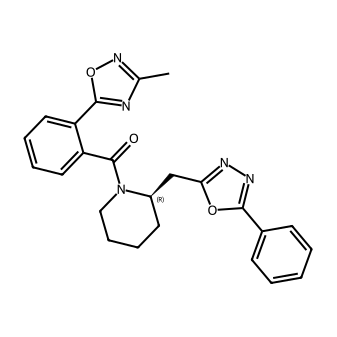 Cc1noc(-c2ccccc2C(=O)N2CCCC[C@@H]2Cc2nnc(-c3ccccc3)o2)n1